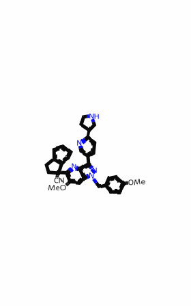 COc1ccc(Cn2nc(-c3ccc(C4CCNC4)nc3)c3nc(C4(C#N)CCc5ccccc54)c(OC)cc32)cc1